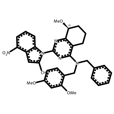 COc1ccc(CN(Cc2ccccc2)c2nc(-n3c(C)cc4c([N+](=O)[O-])cccc43)nc3c2CCC[C@@H]3OC)c(OC)c1